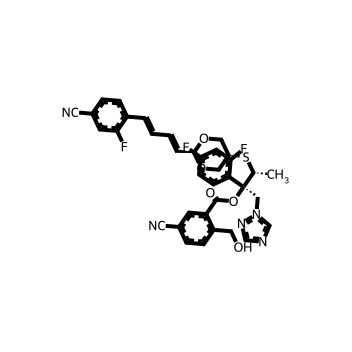 C[C@@H](S[C@H]1CO[C@H](C=CC=Cc2ccc(C#N)cc2F)OC1)[C@@](Cn1cncn1)(OC(=O)c1cc(C#N)ccc1CO)c1ccc(F)cc1F